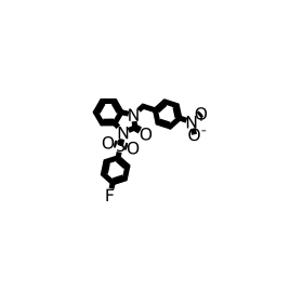 O=c1n(Cc2ccc([N+](=O)[O-])cc2)c2ccccc2n1S(=O)(=O)c1ccc(F)cc1